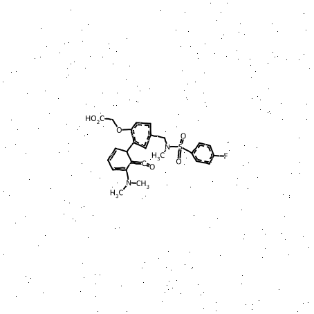 CN(C)C1=CC=CC(c2cc(CN(C)S(=O)(=O)c3ccc(F)cc3)ccc2OCC(=O)O)C1=C=O